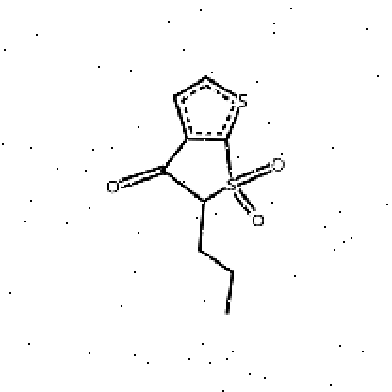 CCCC1C(=O)c2ccsc2S1(=O)=O